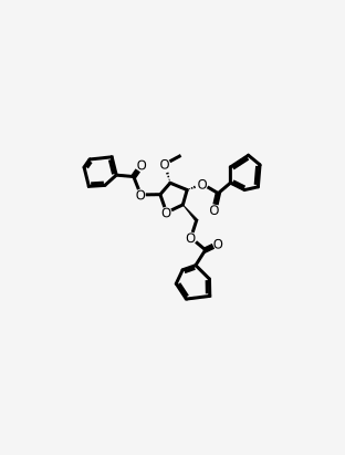 CO[C@H]1C(OC(=O)c2ccccc2)O[C@H](COC(=O)c2ccccc2)[C@H]1OC(=O)c1ccccc1